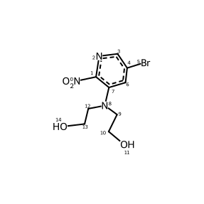 O=[N+]([O-])c1ncc(Br)cc1N(CCO)CCO